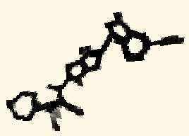 COc1ccc2c(-c3cc4sc(N(C)C(=O)[C@H](C)N5CCOCC5)cc4[nH]3)n[nH]c2c1